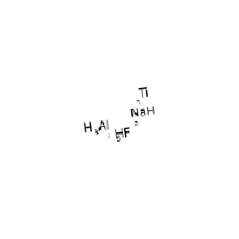 F.[AlH3].[NaH].[Ti]